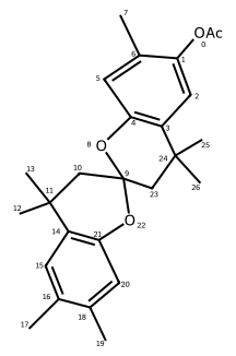 CC(=O)Oc1cc2c(cc1C)OC1(CC(C)(C)c3cc(C)c(C)cc3O1)CC2(C)C